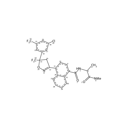 CNC(=O)C(C)NC(=O)c1ccc(C2=NOC(c3cc(Cl)cc(C(F)(F)F)c3)(C(F)(F)F)C2)c2ccccc12